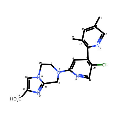 Cc1cnc(-c2cc(N3CCn4cc(C(=O)O)nc4C3)ncc2Cl)c(C)c1